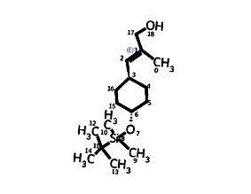 C/C(=C\[C@H]1CC[C@H](O[Si](C)(C)C(C)(C)C)CC1)CO